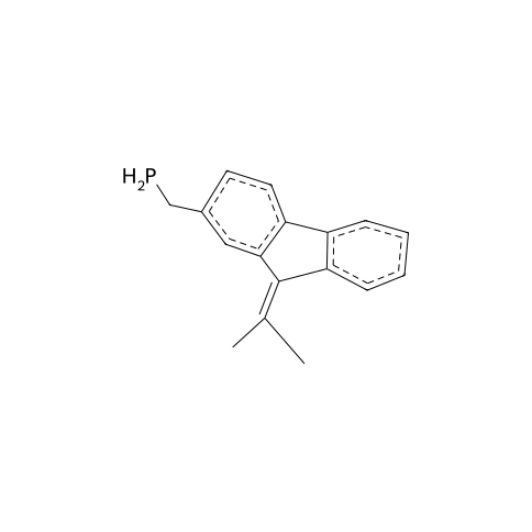 CC(C)=C1c2ccccc2-c2ccc(CP)cc21